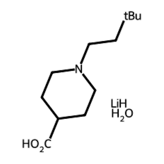 CC(C)(C)CCN1CCC(C(=O)O)CC1.O.[LiH]